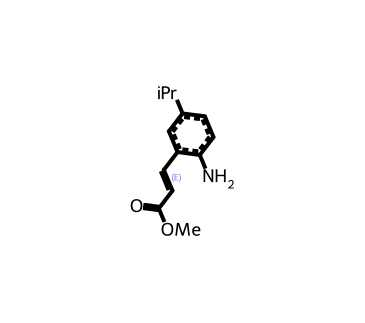 COC(=O)/C=C/c1cc(C(C)C)ccc1N